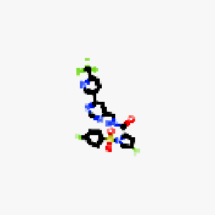 O=C(NCc1cc(-c2ccc(C(F)(F)F)nc2)ncn1)[C@@H]1C[C@@H](F)CN1S(=O)(=O)c1ccc(F)cc1